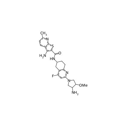 COC1CN(c2cc(F)c3c(n2)CCC(NC(=O)c2sc4nc(C)ccc4c2N)C3)CC1N